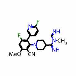 COc1cc(F)c(-c2ccc(F)nc2)c(N2CCC(C(=N)N(C)C=N)CC2)c1C#N